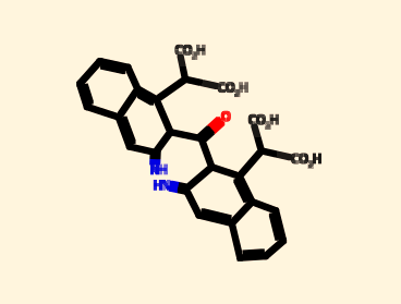 N=C1C=c2ccccc2=C(C(C(=O)O)C(=O)O)C1C(=O)C1C(=N)C=c2ccccc2=C1C(C(=O)O)C(=O)O